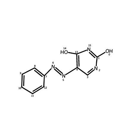 Oc1ncc(N=Nc2ccccc2)c(O)n1